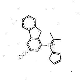 C[C](C)=[Ti+2]([C]1=CC=CC1)[c]1cccc2c1Cc1ccccc1-2.[Cl-].[Cl-]